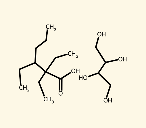 CCCC(CC)C(CC)(CC)C(=O)O.OCC(O)C(O)CO